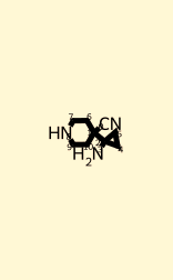 N#CC1(C2(N)CC2)CCNCC1